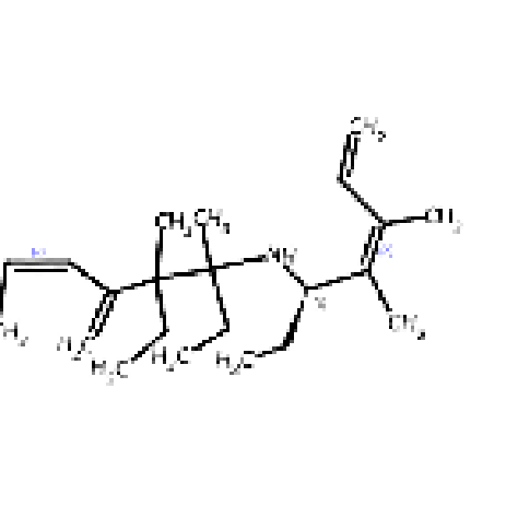 C=C/C(C)=C(/C)[C@@H](CC)NC(C)(CC)C(C)(CC)C(=C)/C=C\C